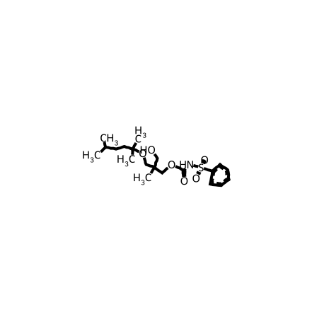 CC(C)CCC(C)(C)OCC(C)(CO)COC(=O)NS(=O)(=O)c1ccccc1